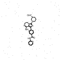 NC1=NCCn2c(N3CCCC(C=O)C3)nc(-c3ccc(C(=O)Nc4ccccn4)cc3)c21